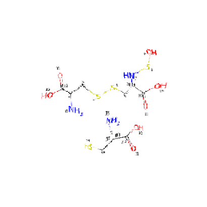 NC(CSSC[C@H](NSO)C(=O)O)C(=O)O.N[C@@H](CS)C(=O)O